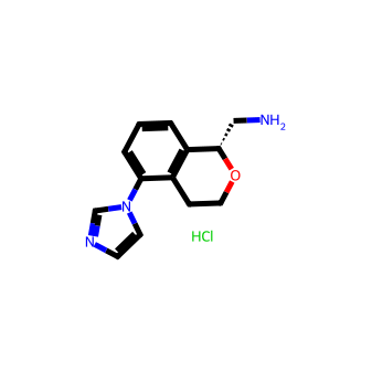 Cl.NC[C@@H]1OCCc2c1cccc2-n1ccnc1